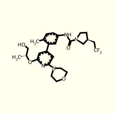 Cc1ccc(NC(=O)N2CC[C@@H](CC(F)(F)F)C2)cc1-c1cc(O[C@H](C)CO)nc(N2CCOCC2)c1